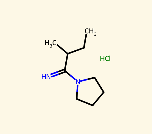 CCC(C)C(=N)N1CCCC1.Cl